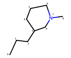 CCCC1CCCN(C)C1